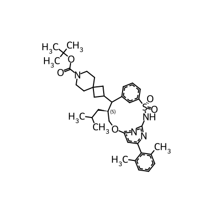 Cc1cccc(C)c1-c1cc2nc(n1)NS(=O)(=O)c1cccc(c1)C(C1CC3(CCN(C(=O)OC(C)(C)C)CC3)C1)[C@H](CC(C)C)CO2